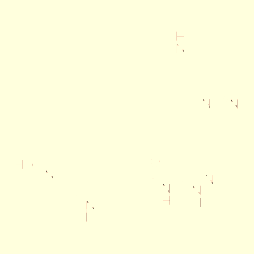 CN1CCC(Nc2ccc(C(=O)Nc3cc(-c4ccc5ncn(CC6CCNCC6)c5c4)n[nH]3)cc2)CC1